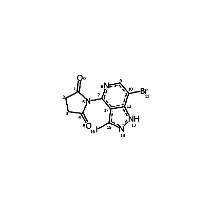 O=C1CCC(=O)N1c1ncc(Br)c2[nH]nc(I)c12